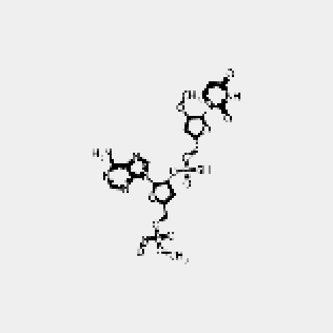 CO[C@@H]1C[C@@H](COP(=O)(S)O[C@@H]2C[C@@H](COP(=O)(N=O)OC)O[C@H]2n2cnc3c(N)ncnc32)O[C@H]1n1ccc(=O)[nH]c1=O